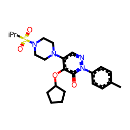 Cc1ccc(-n2ncc(N3CCN(S(=O)(=O)C(C)C)CC3)c(OC3CCCC3)c2=O)cc1